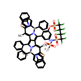 Cc1ccccc1-c1c2/c(=C(\C#N)c3nc4ccccc4s3)n(B(c3ccccc3)c3ccccc3)c(-c3cccc(OS(=O)(=O)C(F)(F)C(F)(F)C(F)(F)C(F)(F)S(=O)(=O)NS(=O)(=O)C(F)(F)F)c3)c2/c(=C(\C#N)c2nc3ccccc3s2)n1B(c1ccccc1)c1ccccc1